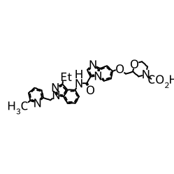 CCc1nn(Cc2cccc(C)n2)c2cccc(NC(=O)c3cnc4cc(OCC5CN(C(=O)O)CCO5)ccn34)c12